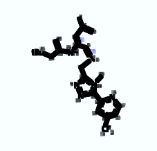 C=C(C)/C=C(\C=N/Cc1nnc(-c2cc(C(F)(F)F)ccn2)n1C)NC(=C)CC(C)(C)C